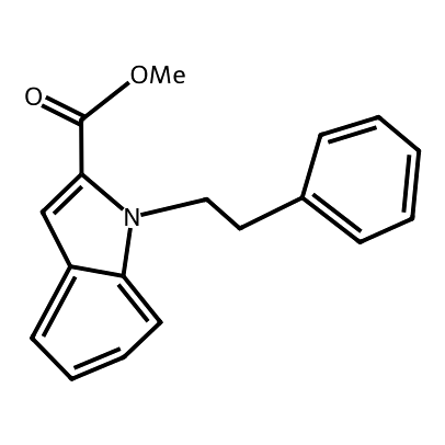 COC(=O)c1cc2ccccc2n1CCc1ccccc1